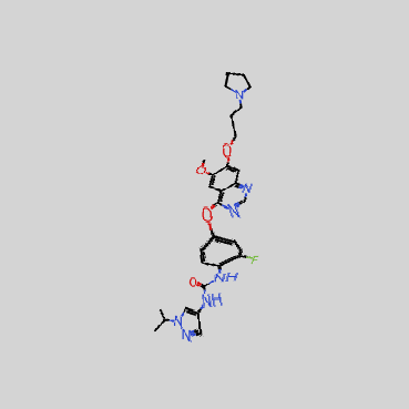 COc1cc2c(Oc3ccc(NC(=O)Nc4cnn(C(C)C)c4)c(F)c3)ncnc2cc1OCCCN1CCCC1